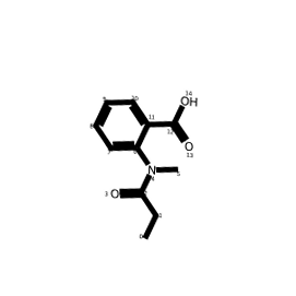 CCC(=O)N(C)c1ccccc1C(=O)O